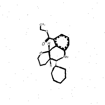 CCOC(=O)c1cccc2c1[C@H]1OCCC[C@H]1[C@@H](C1CCCCC1)N2